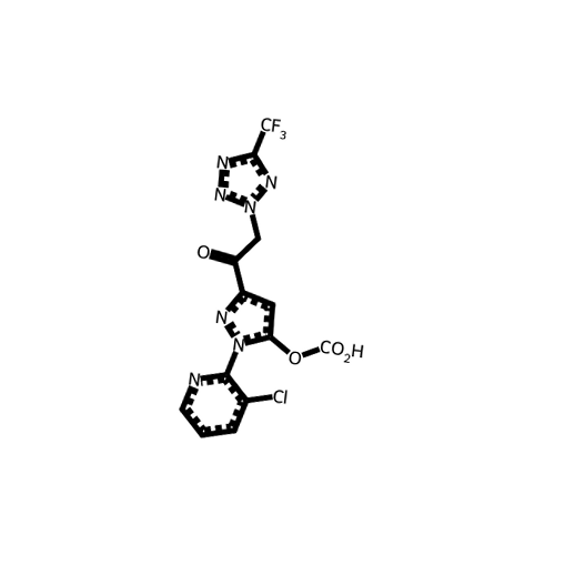 O=C(O)Oc1cc(C(=O)Cn2nnc(C(F)(F)F)n2)nn1-c1ncccc1Cl